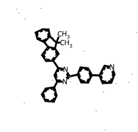 CC1(C)c2ccccc2-c2ccc(-c3cc(-c4ccccc4)nc(-c4ccc(-c5cccnc5)cc4)n3)cc21